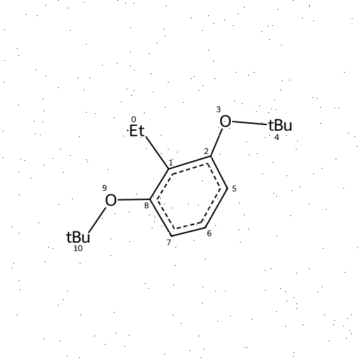 C[CH]c1c(OC(C)(C)C)cccc1OC(C)(C)C